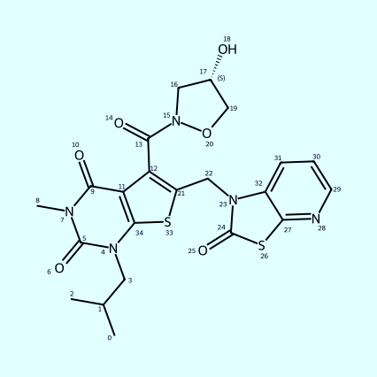 CC(C)Cn1c(=O)n(C)c(=O)c2c(C(=O)N3C[C@H](O)CO3)c(Cn3c(=O)sc4ncccc43)sc21